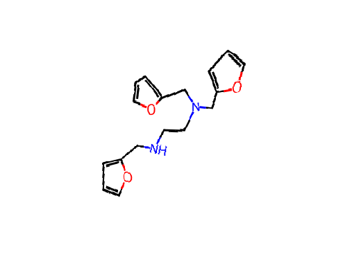 c1coc(CNCCN(Cc2ccco2)Cc2ccco2)c1